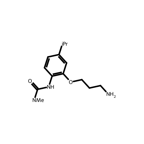 CNC(=O)Nc1ccc(C(C)C)cc1OCCCN